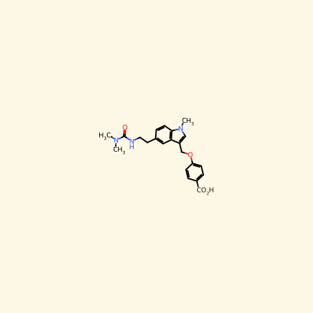 CN(C)C(=O)NCCc1ccc2c(c1)c(COc1ccc(C(=O)O)cc1)cn2C